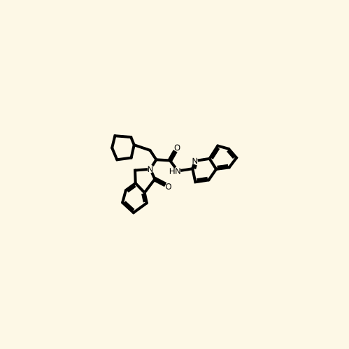 O=C(Nc1ccc2ccccc2n1)C(CC1CCCCC1)N1Cc2ccccc2C1=O